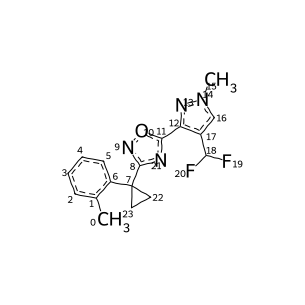 Cc1ccccc1C1(c2noc(-c3nn(C)cc3C(F)F)n2)CC1